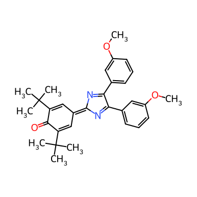 COc1cccc(C2=NC(=C3C=C(C(C)(C)C)C(=O)C(C(C)(C)C)=C3)N=C2c2cccc(OC)c2)c1